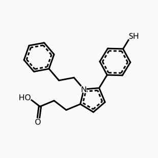 O=C(O)CCc1ccc(-c2ccc(S)cc2)n1CCc1ccccc1